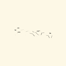 Cc1c(O)c(=O)ccn1CCNCc1coc2cc(OCc3ccccc3)ccc2c1=O